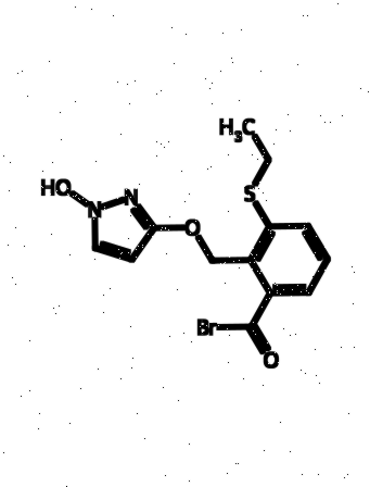 CCSc1cccc(C(=O)Br)c1COc1ccn(O)n1